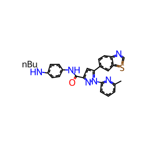 CCCCNc1ccc(NC(=O)c2cc(-c3ccc4ncsc4c3)n(-c3cccc(C)n3)n2)cc1